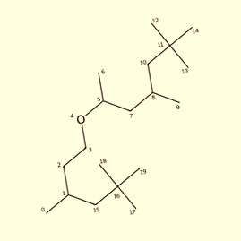 CC(CCOC(C)CC(C)CC(C)(C)C)CC(C)(C)C